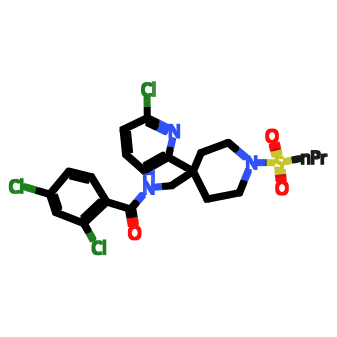 CCCS(=O)(=O)N1CCC(CNC(=O)c2ccc(Cl)cc2Cl)(c2cccc(Cl)n2)CC1